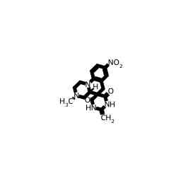 C=C1NC(=O)C2(Cc3cc([N+](=O)[O-])ccc3N3CCN(C)C[C@H]32)C(=O)N1